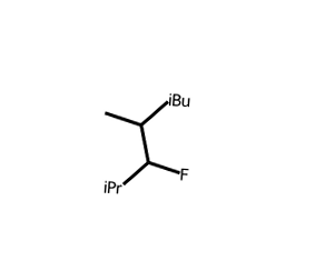 CCC(C)C(C)C(F)C(C)C